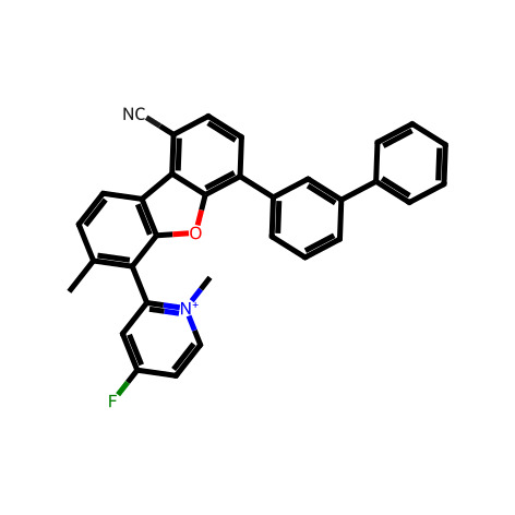 Cc1ccc2c(oc3c(-c4cccc(-c5ccccc5)c4)ccc(C#N)c32)c1-c1cc(F)cc[n+]1C